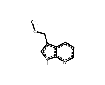 COCc1c[nH]c2ncccc12